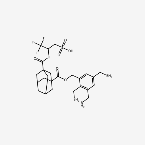 BCc1cc(CB)c(CB)c(COC(=O)C23CC4CC(C2)CC(C(=O)OC(CS(=O)(=O)O)C(F)(F)F)(C4)C3)c1